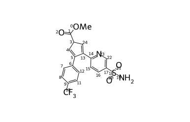 COC(=O)C1C=C(c2ccc(C(F)(F)F)cc2)C(c2ccc(S(N)(=O)=O)cn2)=C1